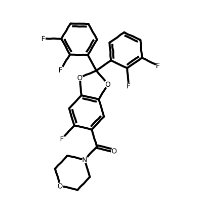 O=C(c1cc2c(cc1F)OC(c1cccc(F)c1F)(c1cccc(F)c1F)O2)N1CCOCC1